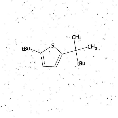 CC(C)(C)c1ccc(C(C)(C)C(C)(C)C)s1